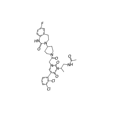 CC(=O)NCC(C)n1c(=O)c(-c2cccc(Cl)c2Cl)cn(CC(=O)N2CCC(N3CCc4cc(F)ccc4NC3=O)CC2)c1=O